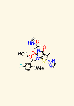 COc1ccc(F)cc1C(Cn1c(=O)n(C(C)(C)C(=O)NC(C)C)c(=O)c2c(C)c(-n3nccn3)sc21)OCCC#N